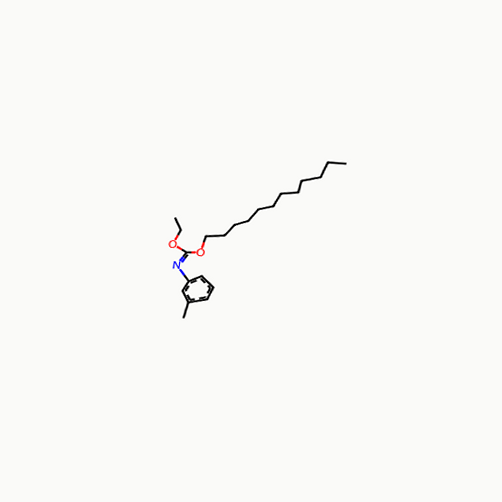 CCCCCCCCCCCCOC(=Nc1cccc(C)c1)OCC